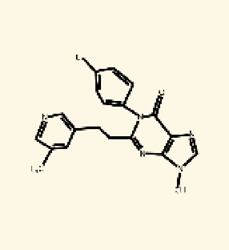 Cn1cnc2c(=O)n(-c3ccc(Cl)cc3)c(CCc3cncc(C(F)(F)F)c3)nc21